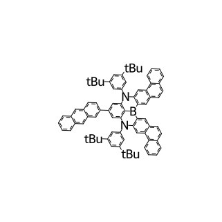 CC(C)(C)c1cc(N2c3cc4c(ccc5ccccc54)cc3B3c4cc5ccc6ccccc6c5cc4N(c4cc(C(C)(C)C)cc(C(C)(C)C)c4)c4cc(-c5ccc6cc7ccccc7cc6c5)cc2c43)cc(C(C)(C)C)c1